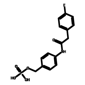 O=C(Cc1ccc(F)cc1)Nc1ccc(COP(=O)(O)O)cc1